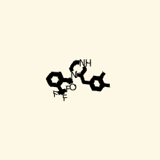 Cc1ccc(CC2CNCCN2C(=O)c2ccccc2C(F)(F)F)cc1C